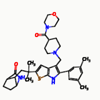 Cc1cc(C)cc(-c2[nH]c3sc(C(C)(C)CC4C5CCC4C(=O)N5)cc3c2CN2CCC(C(=O)N3CCOCC3)CC2)c1